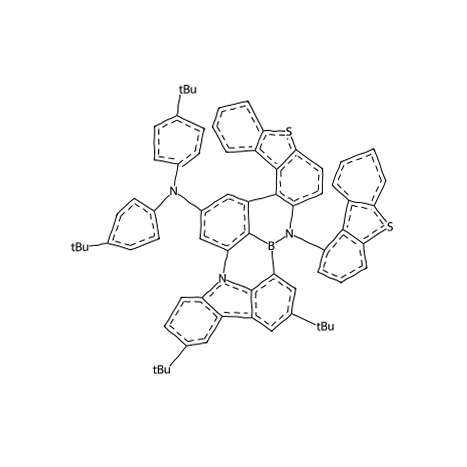 CC(C)(C)c1ccc(N(c2ccc(C(C)(C)C)cc2)c2cc3c4c(c2)-n2c5ccc(C(C)(C)C)cc5c5cc(C(C)(C)C)cc(c52)B4N(c2cccc4sc5ccccc5c24)c2ccc4sc5ccccc5c4c2-3)cc1